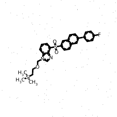 C[Si](C)(C)CCOCn1cnc2c(S(=O)(=O)c3ccc4cc(-c5ccc(F)cc5)ccc4c3)cccc21